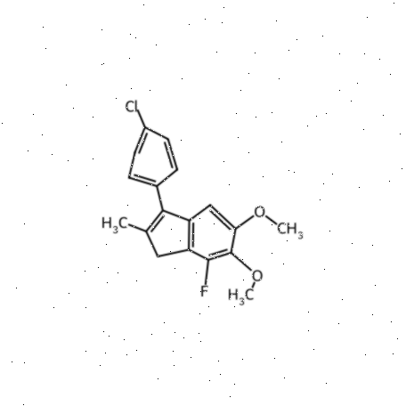 COc1cc2c(c(F)c1OC)CC(C)=C2c1ccc(Cl)cc1